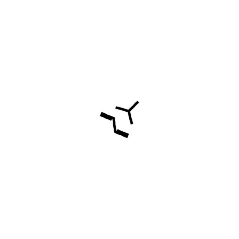 C=CC=C.CC(C)C